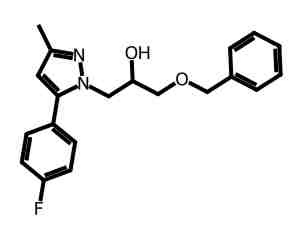 Cc1cc(-c2ccc(F)cc2)n(CC(O)COCc2ccccc2)n1